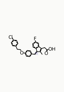 CC1=C(CC(=O)O)c2cc(F)ccc2/C1=C\c1ccc(OCCc2ccc(Cl)cc2)cc1